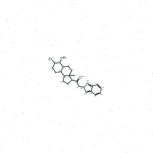 CCCC1C(CC)CCC2C1CCC1(C)C(C(=O)Cn3nc4ccccc4n3)CCC21